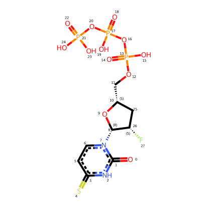 O=c1[nH]c(=S)ccn1[C@@H]1O[C@H](COP(=O)(O)OP(=O)(O)OP(=O)(O)O)C[C@@H]1F